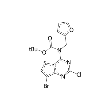 CC(C)(C)OC(=O)N(Cc1ccco1)c1nc(Cl)nc2c(Br)csc12